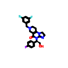 O=C1C2=C(CCN(Cc3cc(F)cc(F)c3)C2)N2CCN=C2N1[C@@H](CO)c1ccc(I)cc1